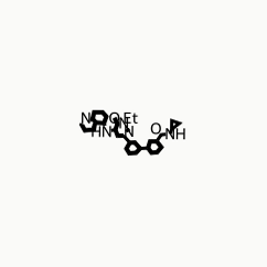 CCn1nc(-c2cccc(-c3cccc(C(=O)NC4CC4)c3)c2)cc(Nc2cccc3ncccc23)c1=O